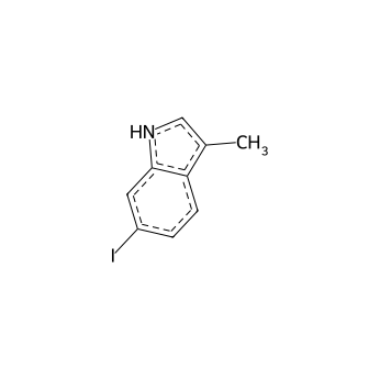 Cc1c[nH]c2cc(I)ccc12